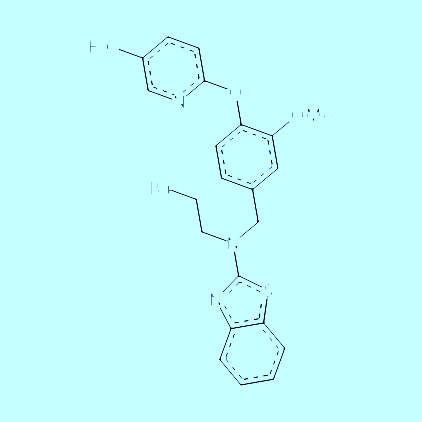 COc1cc(CN(C[CH]C(C)(C)C)c2nc3ccccc3s2)ccc1Oc1ccc(C(F)(F)F)cn1